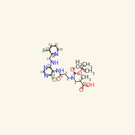 CC(CN(CCC(=O)Nc1c(Cl)ncnc1NCc1ncccc1F)C(=O)OC(C)(C)C)C(=O)O